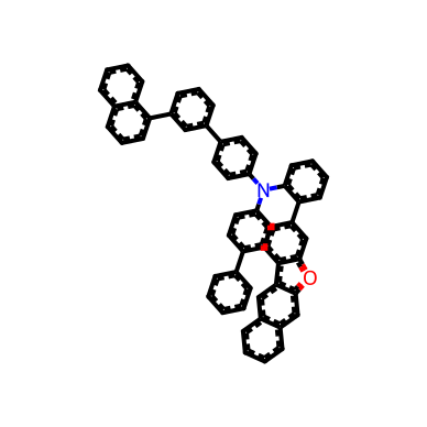 c1ccc(-c2ccc(N(c3ccc(-c4cccc(-c5cccc6ccccc56)c4)cc3)c3ccccc3-c3ccc4c(c3)oc3cc5ccccc5cc34)cc2)cc1